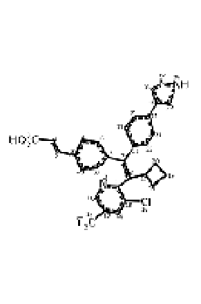 O=C(O)/C=C/c1ccc(/C(=C(\c2ncc(C(F)(F)F)cc2Cl)C2CCC2)c2ccc(-c3cn[nH]c3)cc2)cc1